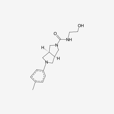 Cc1ccc(N2C[C@H]3CN(C(=O)NCCO)C[C@H]3C2)cc1